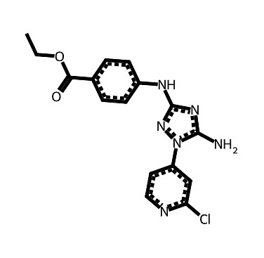 CCOC(=O)c1ccc(Nc2nc(N)n(-c3ccnc(Cl)c3)n2)cc1